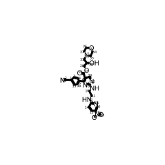 N#Cc1ccc(-c2nc(NCCNc3ccc([N+](=O)[O-])cn3)ncc2C(=O)OCC(O)CN2CCOCC2)cc1